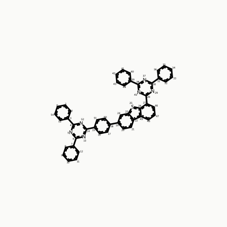 c1ccc(-c2nc(-c3ccccc3)nc(-c3ccc(-c4ccc5c(c4)sc4c(-c6nc(-c7ccccc7)nc(-c7ccccc7)n6)cccc45)cc3)n2)cc1